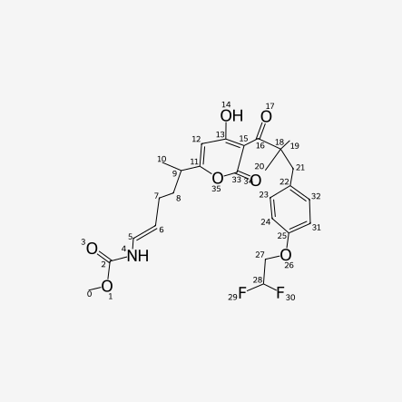 COC(=O)N/C=C/CCC(C)c1cc(O)c(C(=O)C(C)(C)Cc2ccc(OCC(F)F)cc2)c(=O)o1